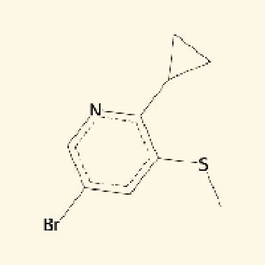 CSc1cc(Br)cnc1C1CC1